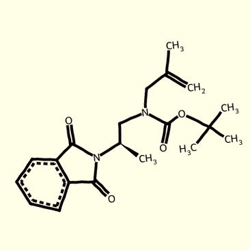 C=C(C)CN(C[C@@H](C)N1C(=O)c2ccccc2C1=O)C(=O)OC(C)(C)C